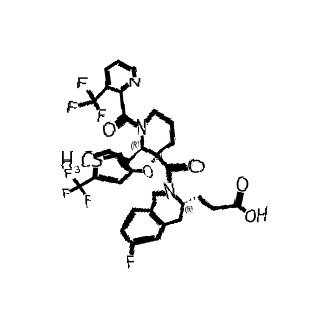 CCC[C@H]1N(C(=O)c2ncccc2C(F)(F)F)CCC[C@@]1(Oc1csc(C(F)(F)F)c1)C(=O)N1Cc2ccc(F)cc2C[C@H]1CCC(=O)O